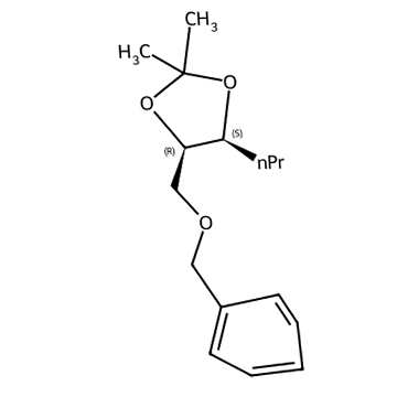 CCC[C@@H]1OC(C)(C)O[C@@H]1COCc1ccccc1